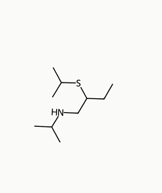 CCC(CNC(C)C)SC(C)C